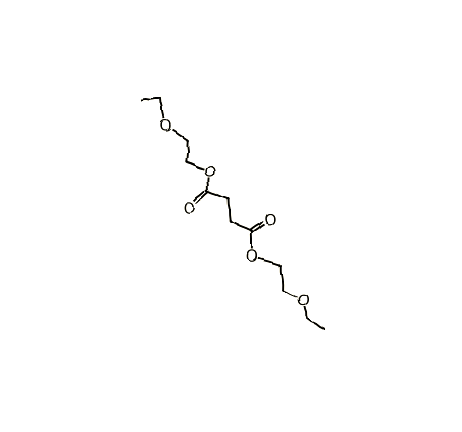 CCOCCOC(=O)CCC(=O)OCCOCC